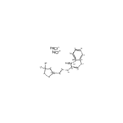 Cl.Cl.FC1(F)CCN(CCSC2=NCc3ccccc3N2)C1